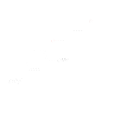 CCOC(=O)c1ccc(OCCCBr)c(OC)c1